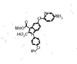 COC(=O)c1c(C(=O)O)n(-c2ccc(OC(C)C)cc2)c2ccc(Oc3ccc(N)cn3)cc12